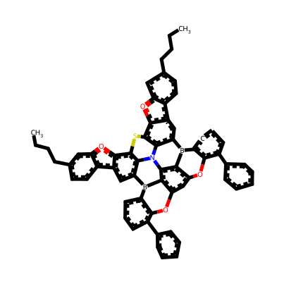 CCCCc1ccc2c(c1)oc1c3c4c(cc12)B1c2cccc(-c5ccccc5)c2Oc2cc5c6c(c21)N4c1c(cc2c(oc4cc(CCCC)ccc42)c1S3)B6c1cccc(-c2ccccc2)c1O5